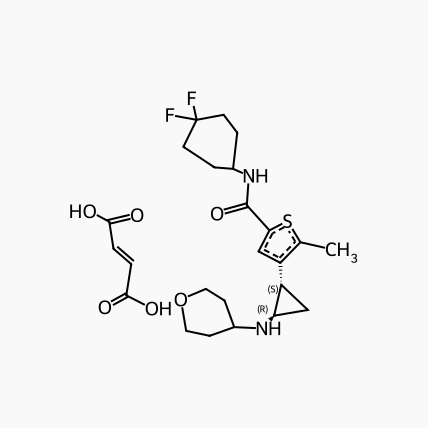 Cc1sc(C(=O)NC2CCC(F)(F)CC2)cc1[C@@H]1C[C@H]1NC1CCOCC1.O=C(O)C=CC(=O)O